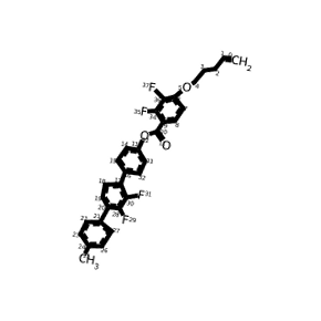 C=CCCCOc1ccc(C(=O)Oc2ccc(-c3ccc(-c4ccc(C)cc4)c(F)c3F)cc2)c(F)c1F